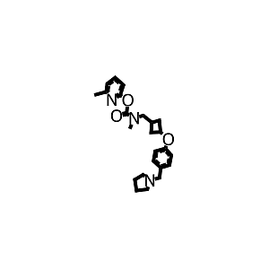 Cc1cccc(OC(=O)N(C)CC2CC(Oc3ccc(CN4CCCC4)cc3)C2)n1